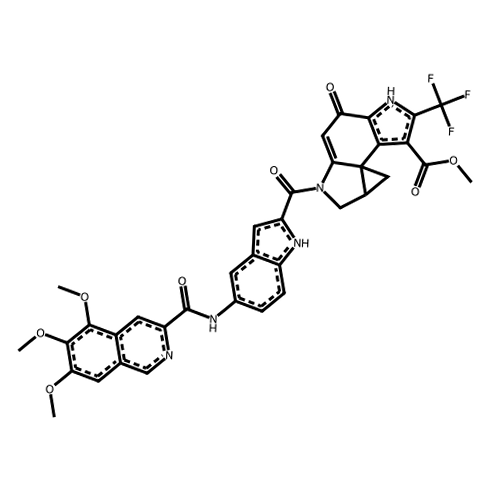 COC(=O)c1c(C(F)(F)F)[nH]c2c1C13CC1CN(C(=O)c1cc4cc(NC(=O)c5cc6c(OC)c(OC)c(OC)cc6cn5)ccc4[nH]1)C3=CC2=O